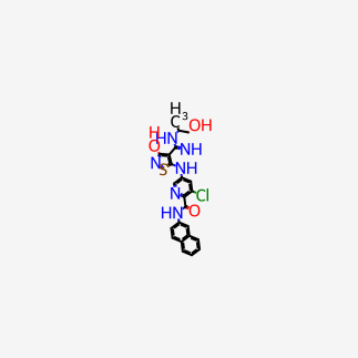 CC(CO)NC(=N)c1c(O)nsc1Nc1cnc(C(=O)Nc2ccc3ccccc3c2)c(Cl)c1